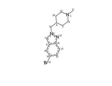 CN1CCC(Cn2cc3cc(Br)ccc3n2)CC1